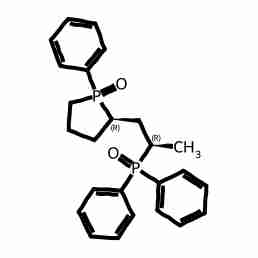 C[C@H](C[C@H]1CCCP1(=O)c1ccccc1)P(=O)(c1ccccc1)c1ccccc1